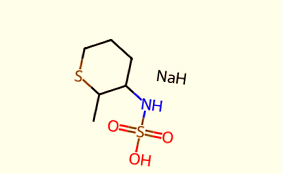 CC1SCCCC1NS(=O)(=O)O.[NaH]